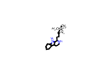 C[Si](C)(C)C#CCCC1NCCc2c1[nH]c1ccccc21